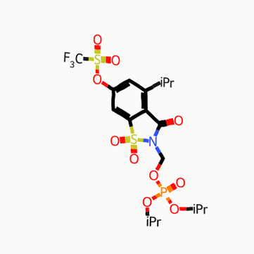 CC(C)OP(=O)(OCN1C(=O)c2c(C(C)C)cc(OS(=O)(=O)C(F)(F)F)cc2S1(=O)=O)OC(C)C